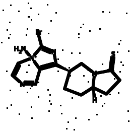 N[N+]12C=CN=CC1=C([C@@H]1CC[C@H]3CCC(=S)N3C1)N=C2Br